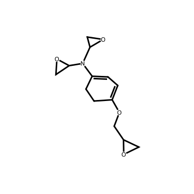 C1=C(OCC2CO2)CCC(N(C2CO2)C2CO2)=C1